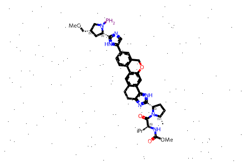 COC[C@H]1C[C@@H](c2ncc(-c3ccc4c(c3)COc3cc5c(cc3-4)CCc3nc([C@@H]4CC[C@H](C)N4C(=O)[C@@H](NC(=O)OC)C(C)C)[nH]c3-5)[nH]2)N(P)C1